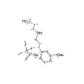 CC(C)COc1cccc(CCCNCCC(=O)O)c1.O=C(O)C(F)(F)F